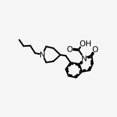 CCCCN1CCC(Cc2cccc3ccc(=O)n(C(=O)O)c23)CC1